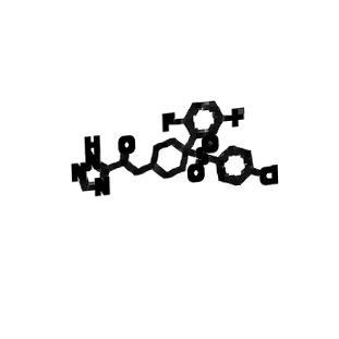 O=C(CC1CCC(c2cc(F)ccc2F)(S(=O)(=O)c2ccc(Cl)cc2)CC1)c1ncn[nH]1